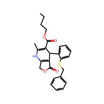 CCCCOC(=O)C1=C(C)NC2=C(C(=O)OC2)C1c1ccccc1SCc1ccccc1